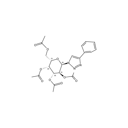 CC(=O)OC[C@@H]1O[C@@H](n2cc(-c3ccccc3)nn2)[C@@H](OC(C)=O)[C@H](OC(C)=O)[C@@H]1OC(C)=O